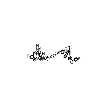 CN[C@@H](C)C(=O)N[C@H](C(=O)N1CCC[C@H]1C1=NC(C(=O)c2ccc(F)cc2)CS1)C1CCN(CCOCCOCCC(=O)N(C)CCN2N=CC3C(=C2C#N)c2cnc(N)c(n2)O[C@H](C)c2cc(F)ccc2C(=O)N3C)CC1